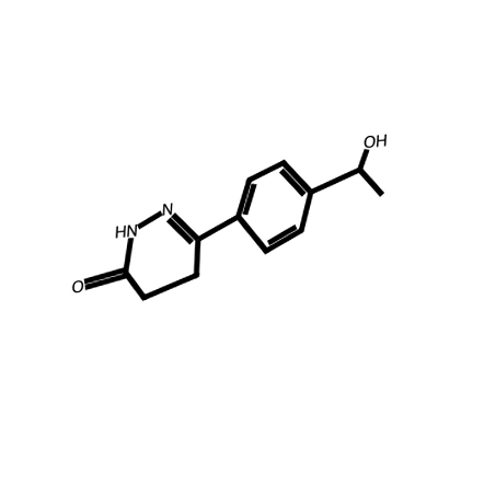 CC(O)c1ccc(C2=NNC(=O)CC2)cc1